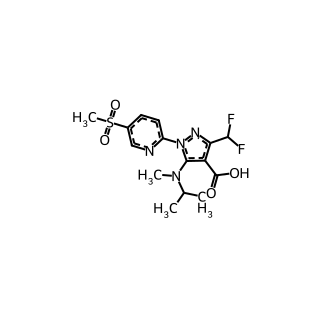 CC(C)N(C)c1c(C(=O)O)c(C(F)F)nn1-c1ccc(S(C)(=O)=O)cn1